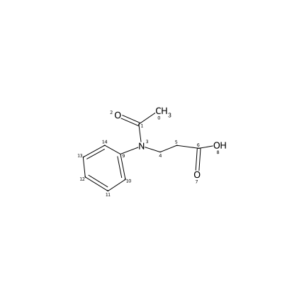 CC(=O)N(CCC(=O)O)c1ccccc1